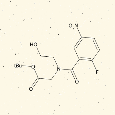 CC(C)(C)OC(=O)CN(CCO)C(=O)c1cc([N+](=O)[O-])ccc1F